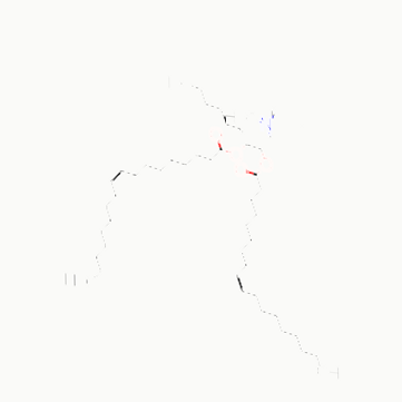 CCCCCCCC/C=C\CCCCCCCC(=O)O[C@@H](CN(C)C)[C@@H](CCCCCC)OC(=O)CCCCCCC/C=C\CCCCCCCC